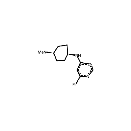 CN[C@H]1CC[C@@H](Nc2cc(C(C)C)ncn2)CC1